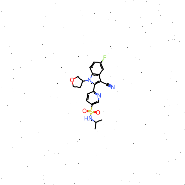 CC(C)NS(=O)(=O)c1ccc(-c2c(C#N)c3cc(F)ccc3n2C2CCOC2)nc1